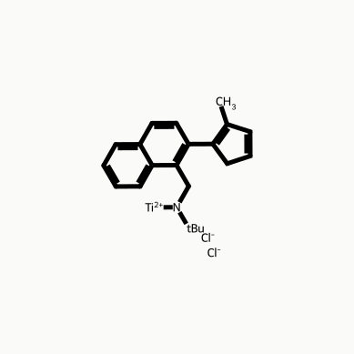 CC1=C(c2ccc3ccccc3c2C[N]([Ti+2])C(C)(C)C)CC=C1.[Cl-].[Cl-]